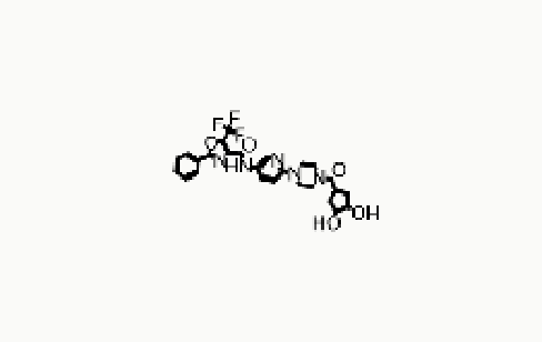 O=C(Nc1ccc(N2CCN(C(=O)C3CC(O)C(O)C3)CC2)nc1)c1nc(-c2ccccc2)oc1C(F)(F)F